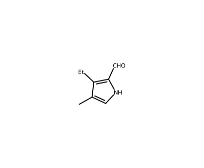 CCc1c(C)c[nH]c1C=O